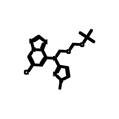 Cn1ccc(N(COCOC(C)(C)C)c2cc(Cl)cn3ncnc23)n1